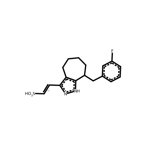 O=S(=O)(O)/C=C/c1n[nH]c2c1CCCCC2Cc1cccc(F)c1